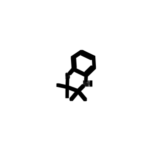 CC1(C)Nc2ccccc2SC1(C)C